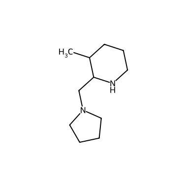 CC1CCCNC1CN1CCCC1